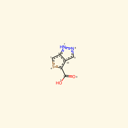 O=C(O)c1scc2[nH]ncc12